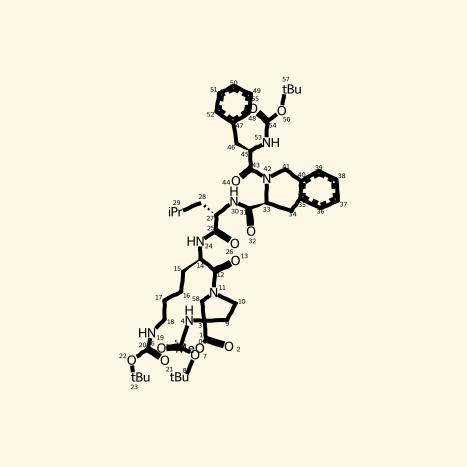 COC(=O)C1(NC(=O)OC(C)(C)C)CCN(C(=O)[C@@H](CCCCNC(=O)OC(C)(C)C)NC(=O)[C@H](CC(C)C)NC(=O)[C@@H]2Cc3ccccc3CN2C(=O)[C@@H](Cc2ccccc2)NC(=O)OC(C)(C)C)C1